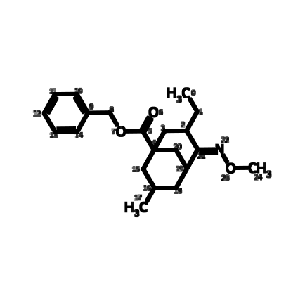 CCC1CC2(C(=O)OCc3ccccc3)CC(C)CC(C2)/C1=N\OC